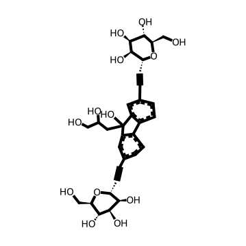 OCC(O)CC1(O)c2cc(C#C[C@H]3O[C@H](CO)[C@@H](O)[C@H](O)[C@@H]3O)ccc2-c2ccc(C#C[C@H]3O[C@H](CO)[C@@H](O)[C@H](O)[C@@H]3O)cc21